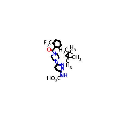 CC1(C)CC1(C)C.O=C(O)Nc1ccc(N2CCN(C(=O)c3ccccc3C(F)(F)F)CC2)nn1